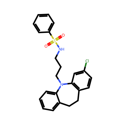 O=S(=O)(NCCCN1c2ccccc2CCc2ccc(Cl)cc21)c1ccccc1